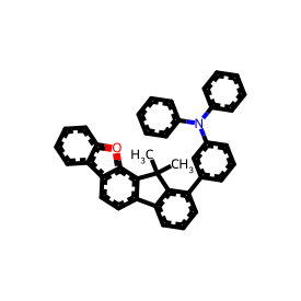 CC1(C)c2c(-c3cccc(N(c4ccccc4)c4ccccc4)c3)cccc2-c2ccc3c(oc4ccccc43)c21